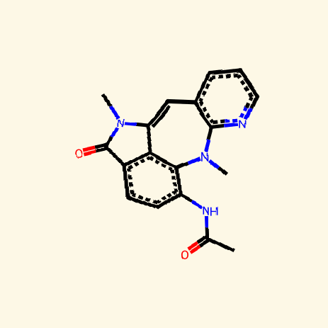 CC(=O)Nc1ccc2c3c1N(C)c1ncccc1C=C3N(C)C2=O